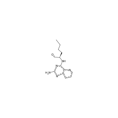 CCCC[C@H](C=O)Nc1nc(N)nc2cccnc12